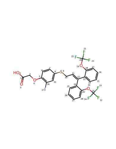 O=C(O)COc1ccc(SCC=C(c2ccccc2OC(F)(F)F)c2ccccc2OC(F)(F)F)cc1I